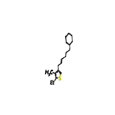 CCc1scc(CC=CCCCC2CCCCC2)c1C